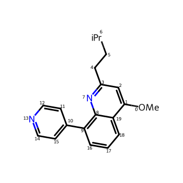 COc1cc(CCC(C)C)nc2c(-c3ccncc3)cccc12